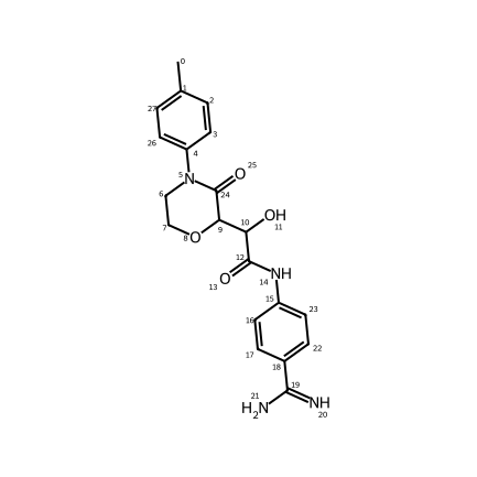 Cc1ccc(N2CCOC(C(O)C(=O)Nc3ccc(C(=N)N)cc3)C2=O)cc1